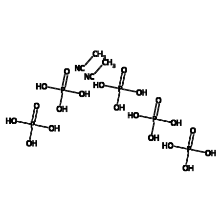 CC#N.CC#N.O=P(O)(O)O.O=P(O)(O)O.O=P(O)(O)O.O=P(O)(O)O.O=P(O)(O)O